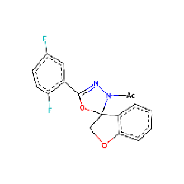 CC(=O)N1N=C(c2cc(F)ccc2F)OC12COc1ccccc12